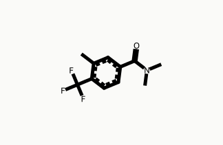 Cc1cc(C(=O)N(C)C)ccc1C(F)(F)F